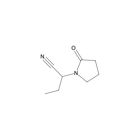 CCC(C#N)N1CCCC1=O